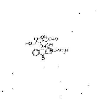 O=C1c2ccccc2Cc2ccccc21.O=C[C@H](O)[C@@H](O)[C@H](O)[C@H](O)CO.O=S(=O)(O)O